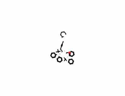 C=C[C@H](C[C@H](CC#CCOC1CCCCO1)O[Si](c1ccccc1)(c1ccccc1)C(C)(C)C)O[Si](c1ccccc1)(c1ccccc1)C(C)(C)C